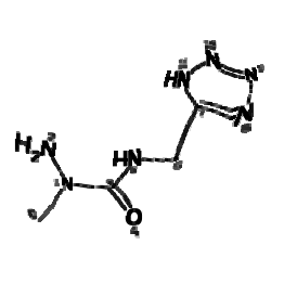 CN(N)C(=O)NCc1nnn[nH]1